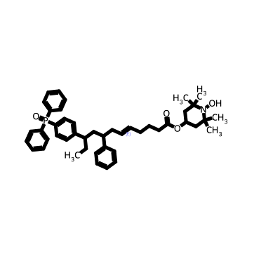 CCC(CC(C/C=C/CCCC(=O)OC1CC(C)(C)N(O)C(C)(C)C1)c1ccccc1)c1ccc(P(=O)(c2ccccc2)c2ccccc2)cc1